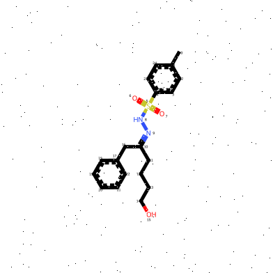 Cc1ccc(S(=O)(=O)NN=C(CCCCO)Cc2ccccc2)cc1